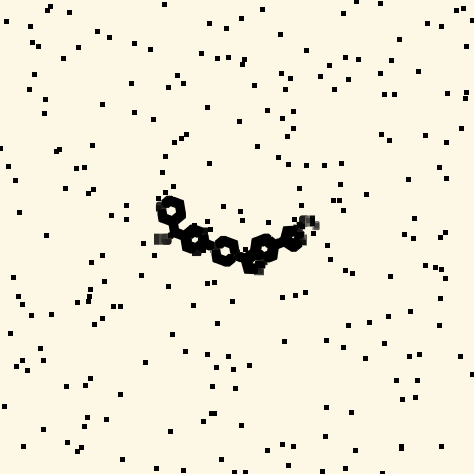 Cn1cc(-c2ccc3c(N4CCN(c5ncc([C@H](O)C6CCCOC6)cn5)CC4)cnn3c2)cn1